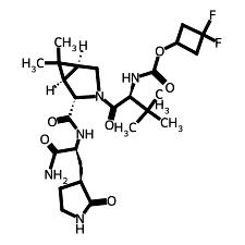 CC(C)(C)[C@H](NC(=O)OC1CC(F)(F)C1)C(=O)N1C[C@H]2[C@@H]([C@H]1C(=O)N[C@@H](C[C@@H]1CCNC1=O)C(N)=O)C2(C)C